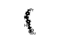 CC(C)Cc1ccc(-c2nc(-c3ccc(CN[C@H]4C[C@@H](C(=O)OC(C)(C)C)C4)cc3)no2)cc1